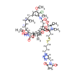 COc1cc2cc(c1Cl)N(C)C(=O)C[C@H](OC(=O)[C@H](C)N(C)C(=O)CCSSCCCCn1cc(CN3C(=O)C=CC3=O)nn1)[C@]1(C)O[C@H]1[C@H](C)[C@@H]1C[C@@](O)(NC(=O)O1)[C@H](OC)/C=C/C=C(\C)C2